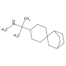 CNC(C)(C)C1CCC2(CC1)CC1CCC2CC1